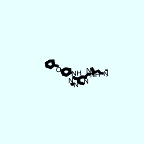 CN(C)CCc1cnc(-c2cc3c(Nc4ccc(OCc5ccccc5)cc4)ncnc3cn2)[nH]1